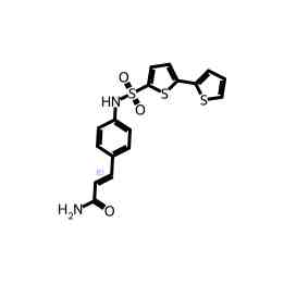 NC(=O)/C=C/c1ccc(NS(=O)(=O)c2ccc(-c3cccs3)s2)cc1